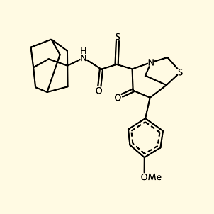 COc1ccc(C2C(=O)C(C(=S)C(=O)NC34CC5CC(CC(C5)C3)C4)N3CSC2C3)cc1